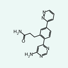 NC(=O)CCc1cc(-c2cccnn2)ccc1-c1cc(N)ncn1